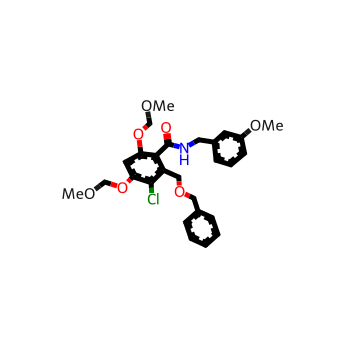 COCOc1cc(OCOC)c(C(=O)NCc2cccc(OC)c2)c(COCc2ccccc2)c1Cl